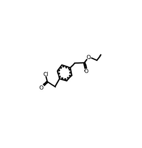 CCOC(=O)Cc1ccc(CC(=O)Cl)cc1